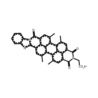 Cc1cc2c3c(cc(C)c4c5c(C)cc6c7c(cc(C)c(c1c34)c57)c(=O)n1c3ccccc3nc61)C(=O)N(CC(=O)O)C2=O